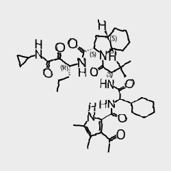 CCC[C@@H](NC(=O)[C@@H]1C[C@@H]2CCCC[C@@H]2N1C(=O)[C@@H](NC(=O)C(NC(=O)c1[nH]c(C)c(C)c1C(C)=O)C1CCCCC1)C(C)(C)C)C(=O)C(=O)NC1CC1